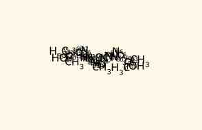 Cc1cc(-c2ccc3ncc(N4CCN(C(C)C(=O)C(C)N5CCN(c6cnc7ccc(-c8cc(C)c(O)c(C)c8)cc7n6)CC5)CC4)nc3c2)cc(C)c1O